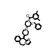 Cc1cc(C)cc(C(=O)N2CC[C@@H](N3CCC(=C4c5ccccc5CCn5ccnc54)CC3)C[C@H]2Cc2ccccc2)c1